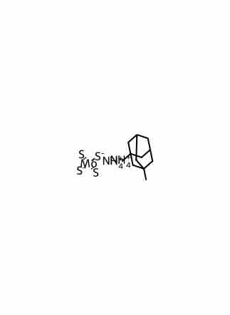 CC12CC3CC(C1)CC(C)(C3)C2.[NH4+].[NH4+].[S]=[Mo](=[S])([S-])[S-]